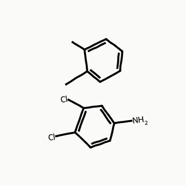 Cc1ccccc1C.Nc1ccc(Cl)c(Cl)c1